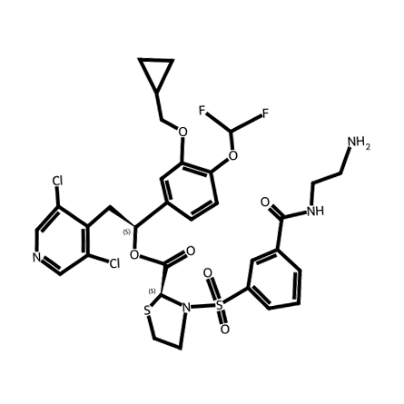 NCCNC(=O)c1cccc(S(=O)(=O)N2CCS[C@H]2C(=O)O[C@@H](Cc2c(Cl)cncc2Cl)c2ccc(OC(F)F)c(OCC3CC3)c2)c1